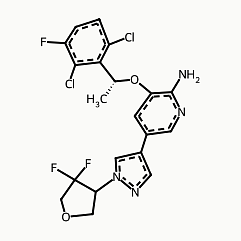 C[C@@H](Oc1cc(-c2cnn(C3COCC3(F)F)c2)cnc1N)c1c(Cl)ccc(F)c1Cl